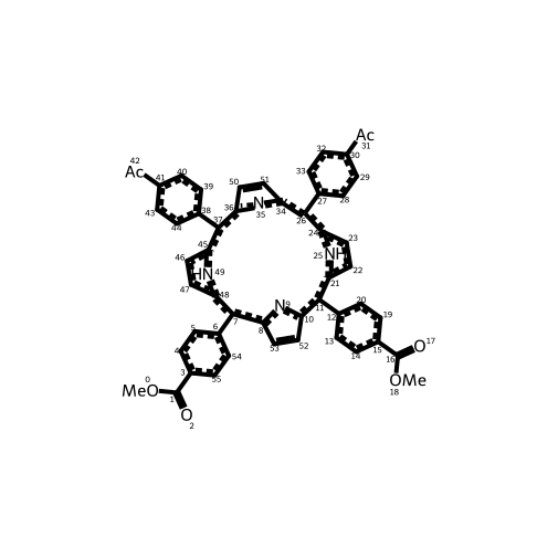 COC(=O)c1ccc(-c2c3nc(c(-c4ccc(C(=O)OC)cc4)c4ccc([nH]4)c(-c4ccc(C(C)=O)cc4)c4nc(c(-c5ccc(C(C)=O)cc5)c5ccc2[nH]5)C=C4)C=C3)cc1